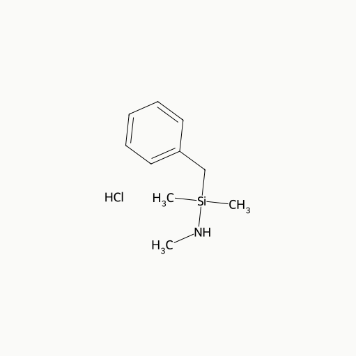 CN[Si](C)(C)Cc1ccccc1.Cl